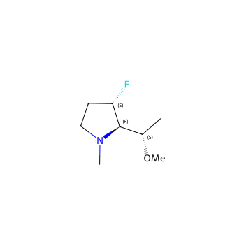 CO[C@@H](C)[C@@H]1[C@@H](F)CCN1C